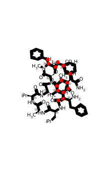 CC(C)C[C@H](NC(=O)CNC(=O)[C@H](Cc1ccccc1)N(C)C(=O)[C@H](C)NC(=O)[C@@H](N)Cc1ccccc1)C(=O)N[C@@H](C)C(=O)N[C@H](C(=O)N[C@@H](Cc1ccccc1)C(=O)N[C@@H](CC(=O)SCc1ccccc1)C(=O)N(C)[C@@H](C)C(=O)N[C@@H](CNCC(N)=O)C(=O)O)C(C)C